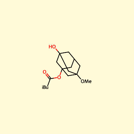 CCC(C)C(=O)OC12CC3CC(O)(CC(OC)(C3)C1)C2